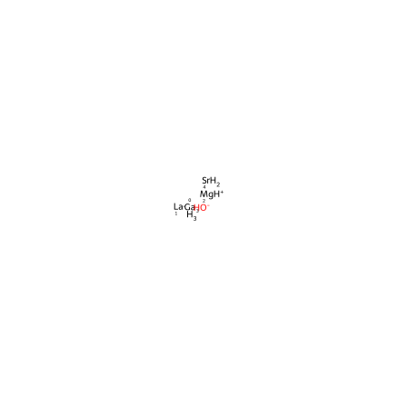 [GaH3].[La].[MgH+].[OH-].[SrH2]